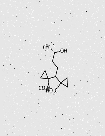 CCCC(O)CCC(C1(C(=O)O)CC1)C1(C(=O)O)CC1